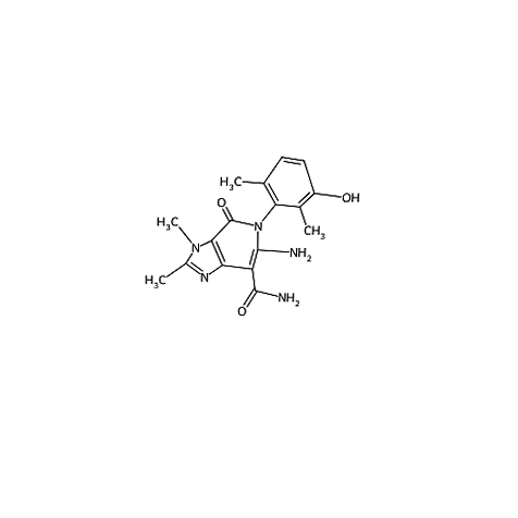 Cc1ccc(O)c(C)c1-n1c(N)c(C(N)=O)c2nc(C)n(C)c2c1=O